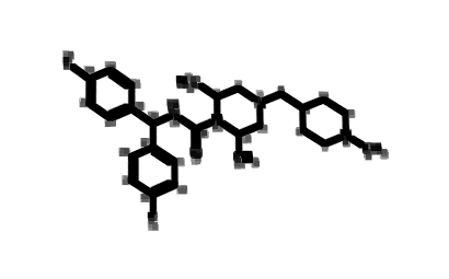 CC1CN(CC2CCN(C)CC2)CC(C)N1C(=O)NC(c1ccc(F)cc1)c1ccc(F)cc1